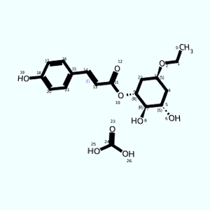 CCO[C@H]1C[C@H](O)[C@@H](O)[C@H](OC(=O)/C=C/c2ccc(O)cc2)C1.O=C(O)O